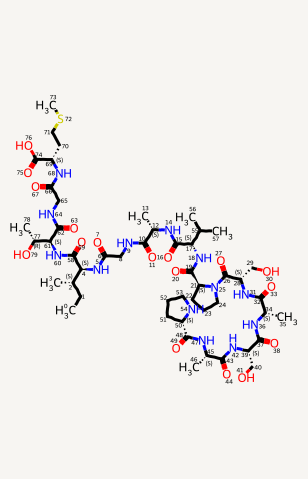 CC[C@H](C)[C@H](NC(=O)CNC(=O)[C@H](C)NC(=O)[C@@H](NC(=O)[C@@H]1CCCN1C(=O)[C@H](CO)NC(=O)[C@H](C)NC(=O)[C@H](CO)NC(=O)[C@H](C)NC(=O)[C@@H]1CCCN1)C(C)C)C(=O)N[C@H](C(=O)NCC(=O)N[C@@H](CCSC)C(=O)O)[C@@H](C)O